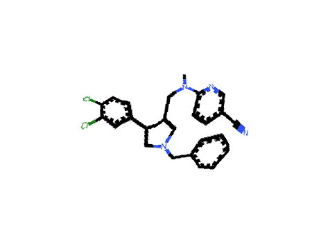 CN(CC1CN(Cc2ccccc2)CC1c1ccc(Cl)c(Cl)c1)c1ccc(C#N)cn1